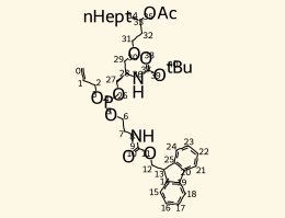 C=CCOP(OCCNC(=O)OCC1c2ccccc2-c2ccccc21)OC[C@@H](COCC[C@@H](CCCCCCC)OC(C)=O)NC(=O)OC(C)(C)C